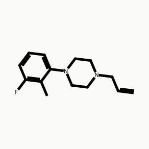 C=CCN1CCN(c2cccc(F)c2C)CC1